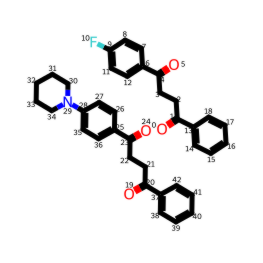 O=C(CCC(=O)c1ccc(F)cc1)c1ccccc1.O=C(CCC(=O)c1ccc(N2CCCCC2)cc1)c1ccccc1